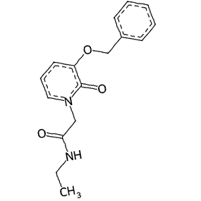 CCNC(=O)Cn1cccc(OCc2ccccc2)c1=O